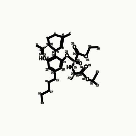 C=C(C)[C@@H]1CCC(C)=C[C@H]1c1c(O)cc(CCCCC)cc1OP(=O)(N[C@@H](C)C(=O)OC(C)C)C(=O)OCC